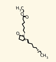 CCOC(=O)CCCCCC[C@H]1C(=O)CC[C@@H]1C=CCCCSCC